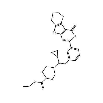 CCOC(=O)C1CCC(N(Cc2cccc(-c3nc4sc5c(c4c(=O)o3)CCCC5)c2)C2CC2)CC1